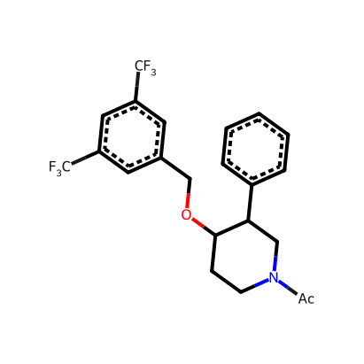 CC(=O)N1CCC(OCc2cc(C(F)(F)F)cc(C(F)(F)F)c2)C(c2ccccc2)C1